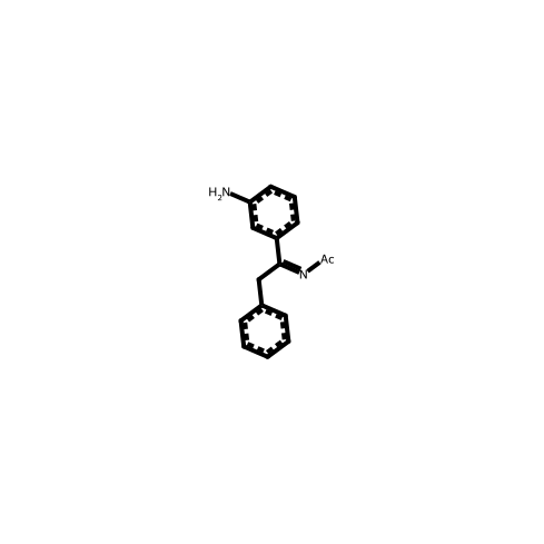 CC(=O)N=C(Cc1ccccc1)c1cccc(N)c1